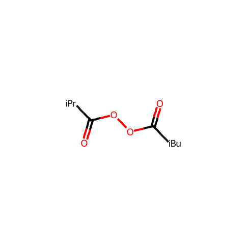 CCC(C)C(=O)OOC(=O)C(C)C